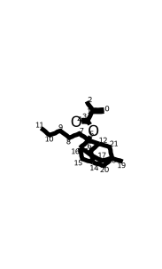 C=C(C)C(=O)OC1(CCCCC)C2CC3CC1CC(C)(C3)C2